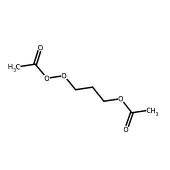 CC(=O)OCCCOOC(C)=O